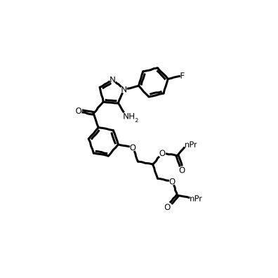 CCCC(=O)OCC(COc1cccc(C(=O)c2cnn(-c3ccc(F)cc3)c2N)c1)OC(=O)CCC